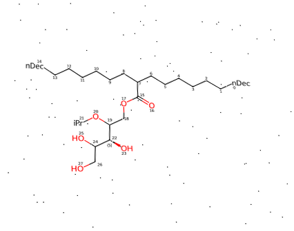 CCCCCCCCCCCCCCCCC(CCCCCCCCCCCCCCCC)C(=O)OCC(OC(C)C)[C@@H](O)C(O)CO